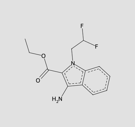 CCOC(=O)c1c(N)c2ccccc2n1CC(F)F